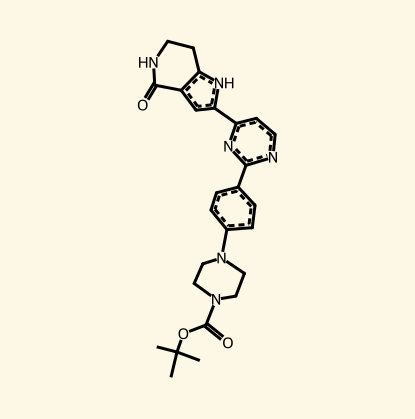 CC(C)(C)OC(=O)N1CCN(c2ccc(-c3nccc(-c4cc5c([nH]4)CCNC5=O)n3)cc2)CC1